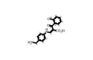 CCOC(=O)C(=CNc1ccc(CN)cc1)C(=O)c1ccccc1Cl